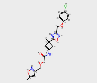 Cc1cc(COCC(=O)NC2=CC(C)(c3nc(COc4ccc(Cl)cc4)no3)C2)no1